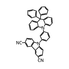 N#Cc1ccc2c(c1)c1cc(C#N)ccc1n2-c1cccc(N2c3ccccc3C(c3ccccc3)(c3ccccc3)c3ccccc32)c1